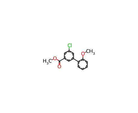 COC(=O)c1cc(Cl)cc(-c2ccccc2OC)c1